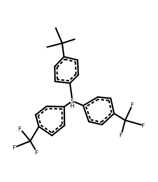 CC(C)(C)c1ccc([SH](c2ccc(C(F)(F)F)cc2)c2ccc(C(F)(F)F)cc2)cc1